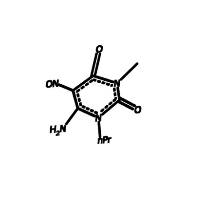 CCCn1c(N)c(N=O)c(=O)n(C)c1=O